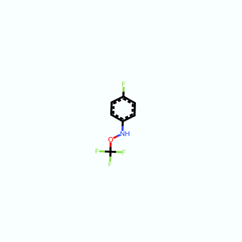 Fc1ccc(NOC(F)(F)F)cc1